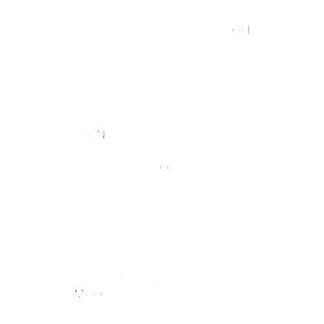 COC(=O)CCCOC1c2ccc(O)cc2CC1N